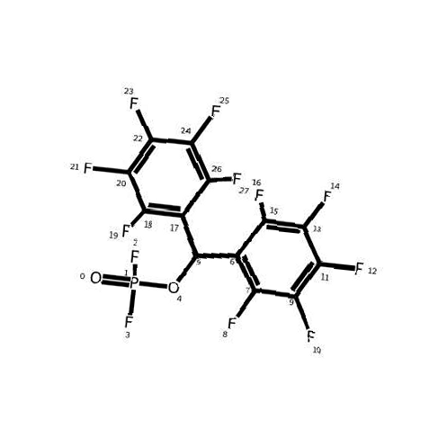 O=P(F)(F)OC(c1c(F)c(F)c(F)c(F)c1F)c1c(F)c(F)c(F)c(F)c1F